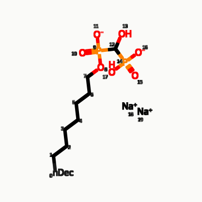 CCCCCCCCCCCCCCCCCOP(=O)([O-])C(O)P(=O)([O-])O.[Na+].[Na+]